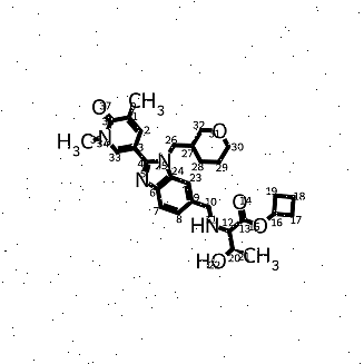 Cc1cc(-c2nc3ccc(CNC(C(=O)OC4CCC4)[C@@H](C)O)cc3n2CC2CCCOC2)cn(C)c1=O